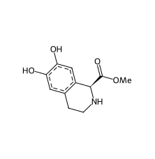 COC(=O)[C@H]1NCCc2cc(O)c(O)cc21